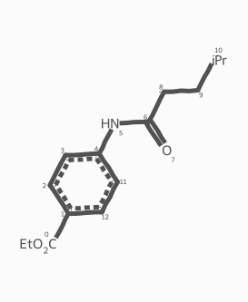 CCOC(=O)c1ccc(NC(=O)[CH]CC(C)C)cc1